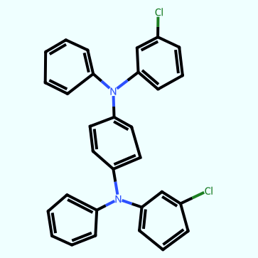 Clc1cccc(N(c2ccccc2)c2ccc(N(c3ccccc3)c3cccc(Cl)c3)cc2)c1